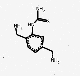 NCc1ccc(CN)c(NC(N)=S)c1